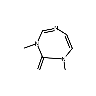 C=C1N(C)C=CN=CN1C